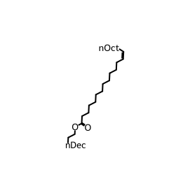 CCCCCCCC/C=C\CCCCCCCCCCCC(=O)OCCCCCCCCCCCC